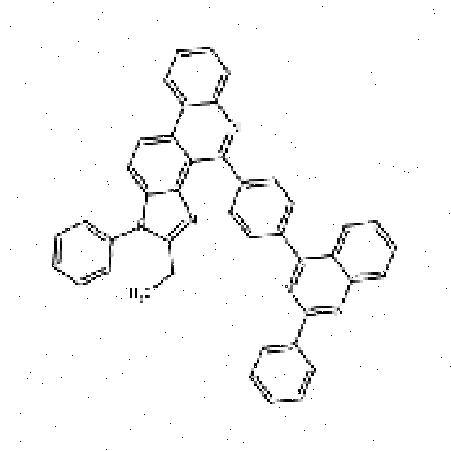 CCc1nc2c3c(-c4ccc(-c5nc(-c6ccccc6)nc6ccccc56)cc4)nc4ccccc4c3ccc2n1-c1ccccc1